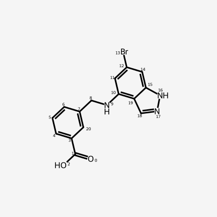 O=C(O)c1cccc(CNc2cc(Br)cc3[nH]ncc23)c1